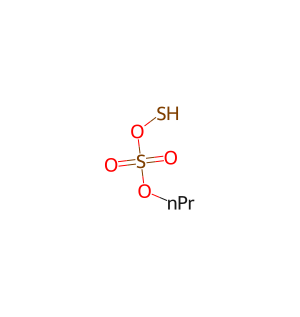 CCCOS(=O)(=O)OS